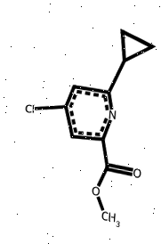 COC(=O)c1cc(Cl)cc(C2CC2)n1